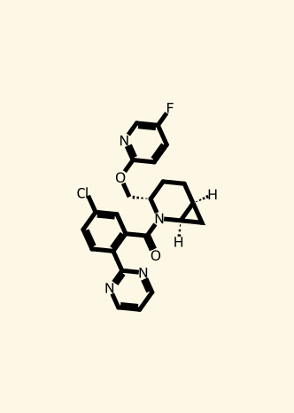 O=C(c1cc(Cl)ccc1-c1ncccn1)N1[C@H](COc2ccc(F)cn2)CC[C@H]2C[C@H]21